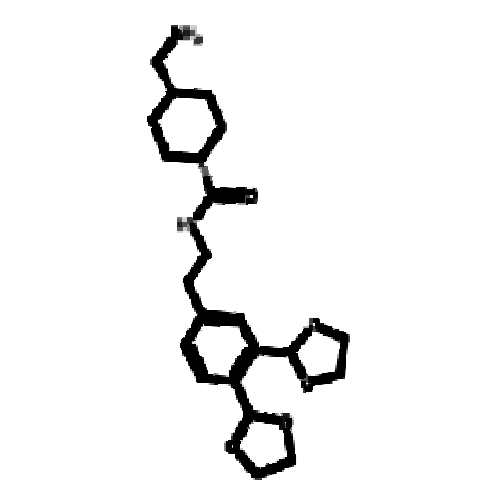 NC[C@H]1CC[C@H](C(=O)NCCc2ccc(C3OCCO3)c(C3OCCO3)c2)CC1